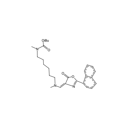 CC(C)COC(=O)N(C)CCCCCCN(C)C=C1N=C(c2cccc3ccccc23)OC1=O